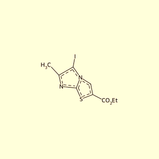 CCOC(=O)c1cn2c(I)c(C)nc2s1